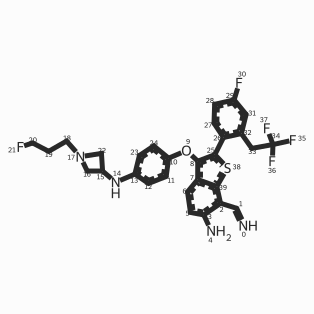 N=Cc1c(N)ccc2c(Oc3ccc(NC4CN(CCCF)C4)cc3)c(-c3ccc(F)cc3CC(F)(F)F)sc12